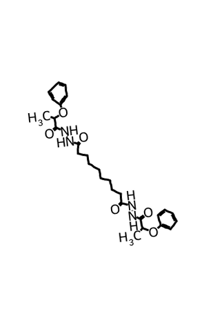 CC(Oc1ccccc1)C(=O)NNC(=O)CCCCCCCCC(=O)NNC(=O)C(C)Oc1ccccc1